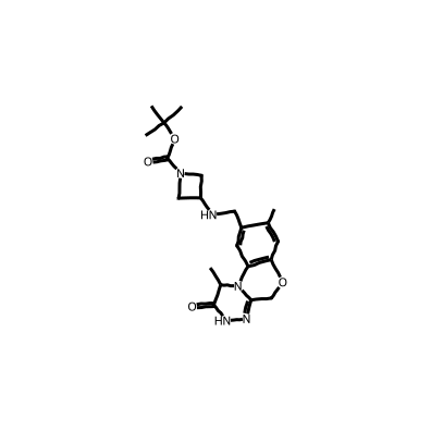 Cc1cc2c(cc1CNC1CN(C(=O)OC(C)(C)C)C1)N1C(=NNC(=O)C1C)CO2